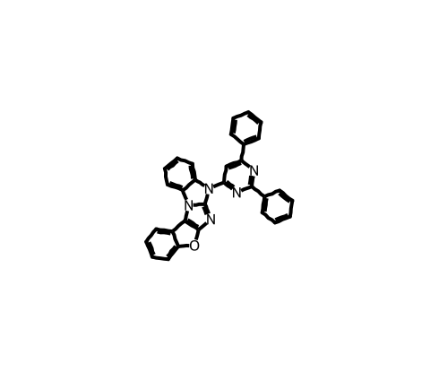 c1ccc(-c2cc(-n3c4ccccc4n4c5c(nc34)oc3ccccc35)nc(-c3ccccc3)n2)cc1